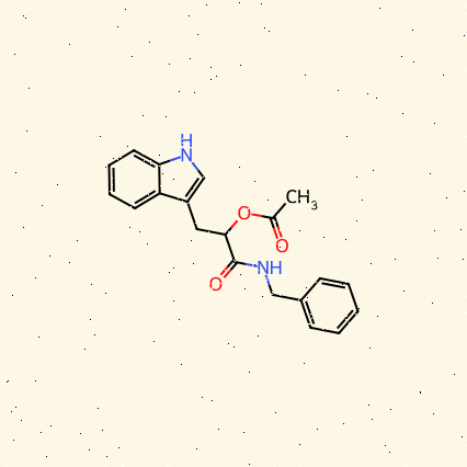 CC(=O)OC(Cc1c[nH]c2ccccc12)C(=O)NCc1ccccc1